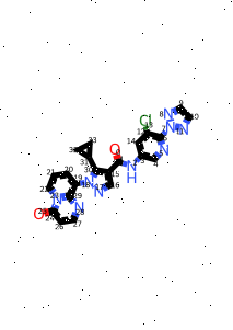 O=C(Nc1cnc(-n2nccn2)c(Cl)c1)c1cnn(-c2cccn3c(=O)ccnc23)c1C1CC1